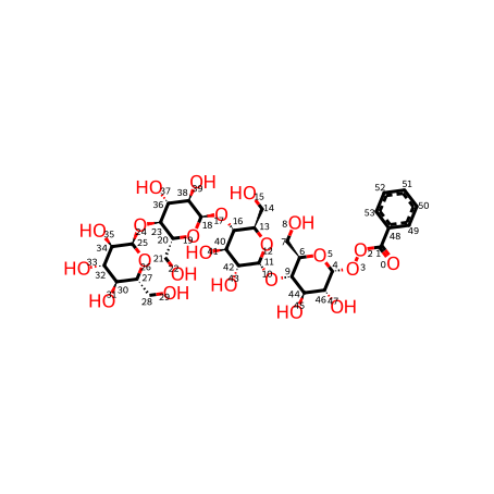 O=C(OO[C@H]1O[C@H](CO)[C@@H](O[C@H]2O[C@H](CO)[C@@H](O[C@H]3O[C@H](CO)[C@@H](O[C@H]4O[C@H](CO)[C@@H](O)[C@H](O)[C@H]4O)[C@H](O)[C@H]3O)[C@H](O)[C@H]2O)[C@H](O)[C@H]1O)c1ccccc1